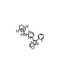 Cc1ccccc1-c1nc2occn2c1-c1ccnc(N[C@H]2C[C@H]3CC[C@@H](C2)N3C)n1